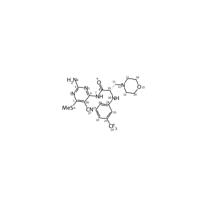 CSc1nc(N)nc(NC(=O)[C@H](CN2CCOCC2)Nc2cccc(C(F)(F)F)c2)c1C#N